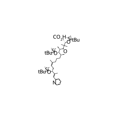 C/C(=C/C[C@H](O[Si](C)(C)C(C)(C)C)/C(C)=C/c1ccccn1)CCC[C@H](C)[C@H](O[Si](C)(C)C(C)(C)C)[C@@H](C)C(=O)C(C)(C)[C@H](CC(=O)O)O[Si](C)(C)C(C)(C)C